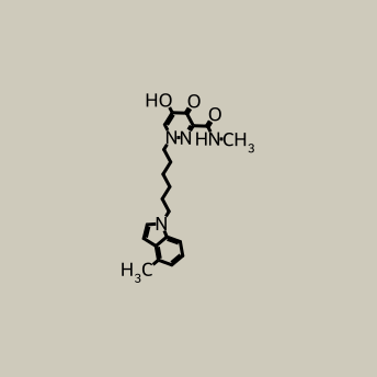 CNC(=O)c1nn(CCCCCCn2ccc3c(C)cccc32)cc(O)c1=O